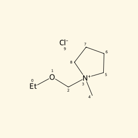 CCOC[N+]1(C)CCCC1.[Cl-]